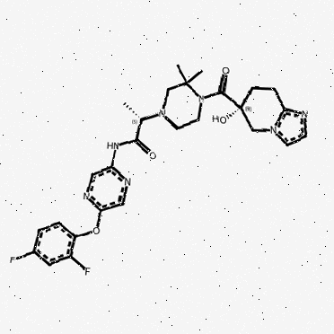 C[C@@H](C(=O)Nc1cnc(Oc2ccc(F)cc2F)cn1)N1CCN(C(=O)[C@@]2(O)CCc3nccn3C2)C(C)(C)C1